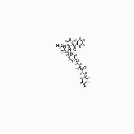 COC(=O)[C@H](Cc1ccc(OCCNC(=O)CCc2ccc(F)cc2)cc1)Nc1ccccc1C(=O)c1ccccc1